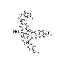 O=C(O)C(OC1CCN(c2ccc(C(F)(F)F)cc2)CC1)C(OC1CCN(c2ccc(C(F)(F)F)cc2)CC1)C(=O)N1CCC(Nc2ccc([N+](=O)[O-])c(C(F)(F)F)c2)CC1